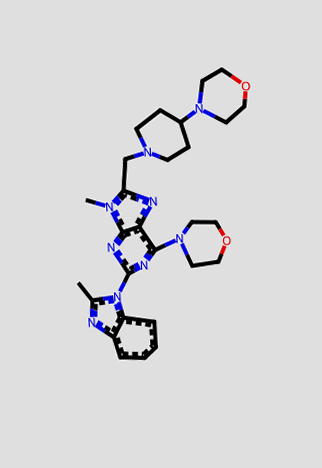 Cc1nc2ccccc2n1-c1nc(N2CCOCC2)c2nc(CN3CCC(N4CCOCC4)CC3)n(C)c2n1